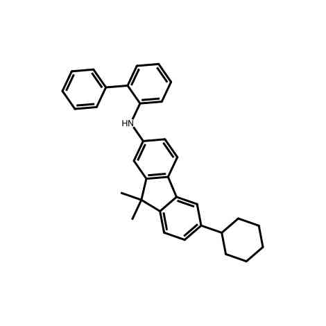 CC1(C)c2ccc(C3CCCCC3)cc2-c2ccc(Nc3ccccc3-c3ccccc3)cc21